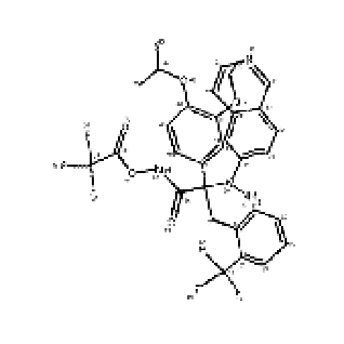 CCOc1cc(C(Cc2ccccc2C(F)(F)F)(C(=O)NOC(=O)C(F)(F)F)N(N)c2ccc3cnccc3c2)ccc1OC(C)C